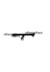 CCCCCC(CCCCC)CC(=O)OCCCCCCCCC(CCCCCCCCOC(=O)CC(CCCCC)CCCCC)CCCN(C)CC